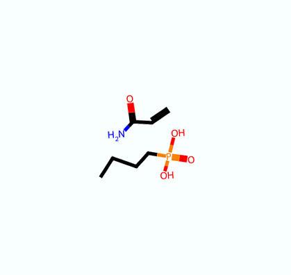 C=CC(N)=O.CCCCP(=O)(O)O